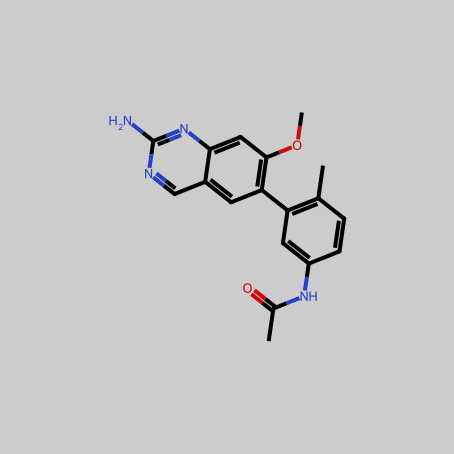 COc1cc2nc(N)ncc2cc1-c1cc(NC(C)=O)ccc1C